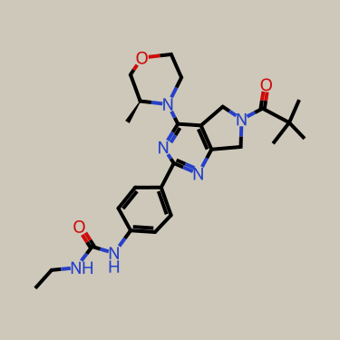 CCNC(=O)Nc1ccc(-c2nc3c(c(N4CCOC[C@@H]4C)n2)CN(C(=O)C(C)(C)C)C3)cc1